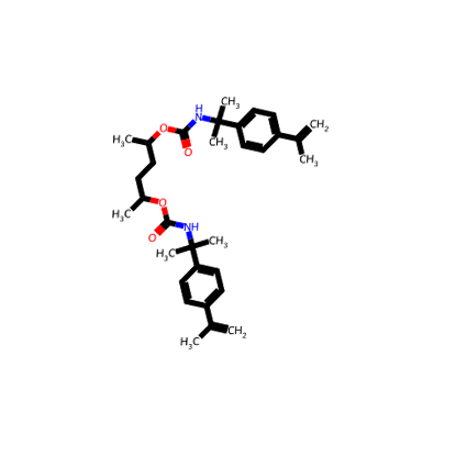 C=C(C)c1ccc(C(C)(C)NC(=O)OC(C)CCC(C)OC(=O)NC(C)(C)c2ccc(C(=C)C)cc2)cc1